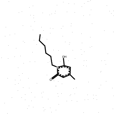 CCCCCCn1c(O)cc(C)cc1=O